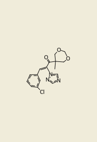 CC1(C(=O)C(=Cc2cccc(Cl)c2)n2cncn2)COCOC1